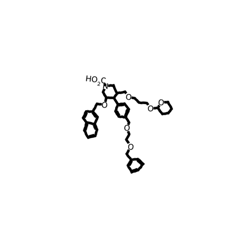 O=C(O)N1CC(COCCCOC2CCCCO2)C(c2ccc(COCCOCc3ccccc3)cc2)C(OCc2ccc3ccccc3c2)C1